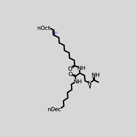 CCCCCCCC/C=C/CCCCCCCC(=O)NC(CCN(C)C(C)=N)C(=O)NCCCCCCCCCCCCCCCC